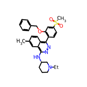 CCN1CCC[C@@H](Nc2nnc(-c3ccc(S(C)(=O)=O)cc3OCc3ccccc3)c3ccc(C)cc23)C1